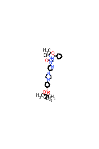 CCC(C(C)OCc1ccccc1)n1ncn(-c2ccc(N3CCN(c4ccc(B5OC(C)(C)C(C)(C)O5)cc4)CC3)cn2)c1=O